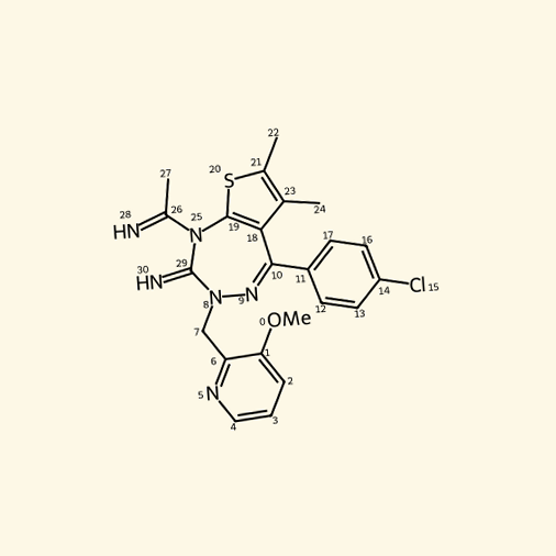 COc1cccnc1CN1N=C(c2ccc(Cl)cc2)c2c(sc(C)c2C)N(C(C)=N)C1=N